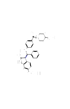 O=C1Nc2cc(C(=O)O)ccc2/C1=C(/Nc1ccc(C(=O)N2CCC(O)CC2)cc1)c1ccccc1